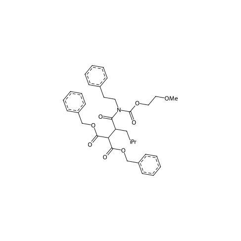 COCCOC(=O)N(CCc1ccccc1)C(=O)C(CC(C)C)C(C(=O)OCc1ccccc1)C(=O)OCc1ccccc1